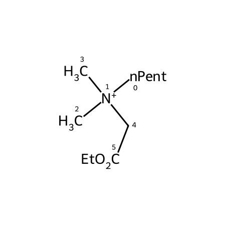 CCCCC[N+](C)(C)CC(=O)OCC